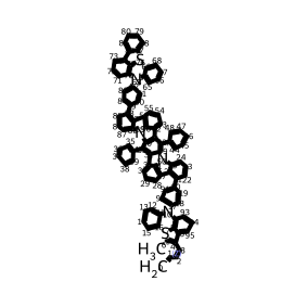 C=C/C=C\c1c(C)sc2c(N(c3ccccc3)c3ccc(-c4cccc5c4c4cccc6c7c(-c8ccccc8)c8c(c(-c9ccccc9)c7n5c46)c4cccc5c6c(-c7ccc(N(c9ccccc9)c9cccc%10c9sc9ccccc9%10)cc7)cccc6n8c54)cc3)cccc12